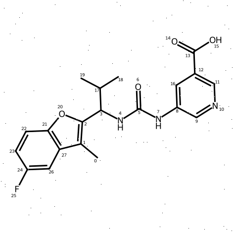 Cc1c(C(NC(=O)Nc2cncc(C(=O)O)c2)C(C)C)oc2ccc(F)cc12